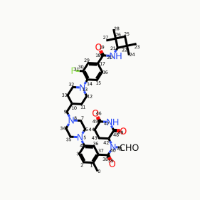 Cc1ccc(N2CCN(CC3CCN(c4ccc(C(=O)NC5C(C)(C)CC5(C)C)cc4F)CC3)CC2)cc1C(=O)N(C=O)C1CCC(=O)NC1=O